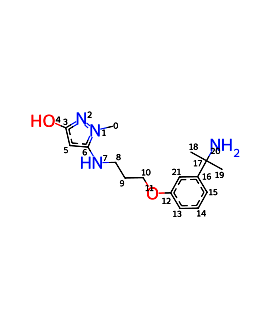 Cn1nc(O)cc1NCCCOc1cccc(C(C)(C)N)c1